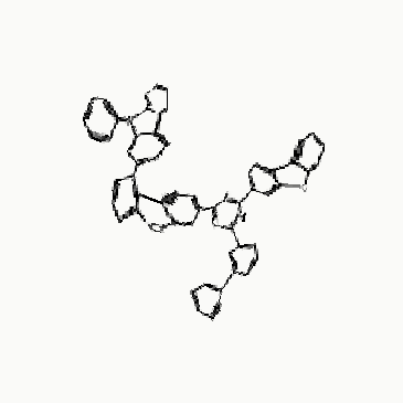 c1ccc(-c2cccc(-c3nc(-c4ccc5c(c4)oc4ccccc45)nc(-c4ccc5c(c4)oc4cccc(-c6ccc7c8ccccc8n(-c8ccccc8)c7c6)c45)n3)c2)cc1